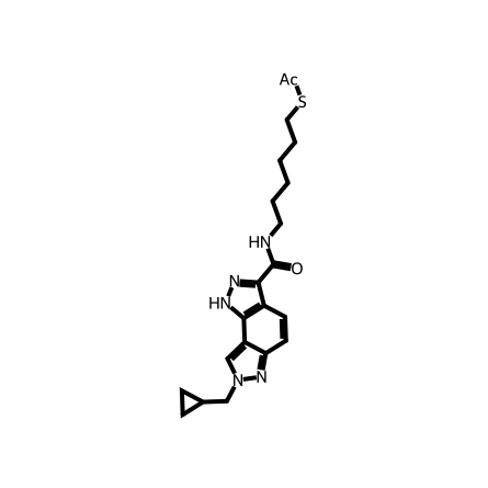 CC(=O)SCCCCCCNC(=O)c1n[nH]c2c1ccc1nn(CC3CC3)cc12